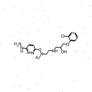 CC(=O)N(CCNCC(O)COc1ccccc1Cl)Oc1ccc(NN)nn1